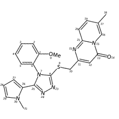 COc1ccccc1-n1c(SCc2cc(=O)n3cc(C)ccc3n2)nnc1-c1cccn1C